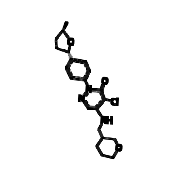 C[C@@H]1CC[C@@H](c2ccc(-n3ncc(NCC4CCCOC4)c(Cl)c3=O)cc2)O1